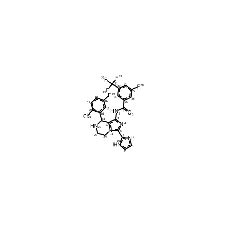 O=C(Nc1nc(-c2ncc[nH]2)n2c1C(c1cc(F)ccc1Cl)NCC2)c1cc(F)cc(C(F)(F)F)c1